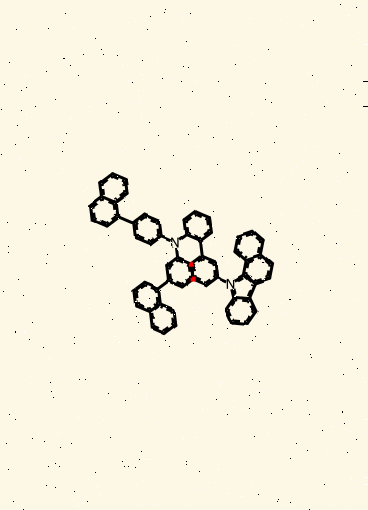 c1cc(-c2cccc3ccccc23)cc(N(c2ccc(-c3cccc4ccccc34)cc2)c2ccccc2-c2cccc(-n3c4ccccc4c4ccc5ccccc5c43)c2)c1